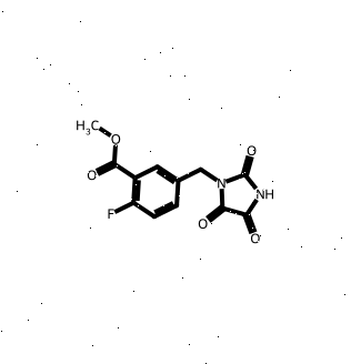 COC(=O)c1cc(CN2C(=O)NC(=O)C2=O)ccc1F